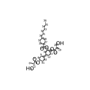 C=C(CO)C(=O)Oc1ccc(-c2ccc(OC(=O)C(=C)CO)c(OC(=O)C3CCC(CCCCCCC)CC3)c2)cc1